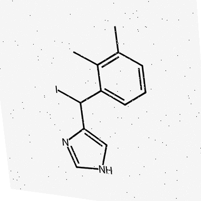 Cc1cccc(C(I)c2c[nH]cn2)c1C